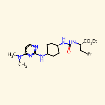 CCOC(=O)[C@H](CC(C)C)NC(=O)N[C@H]1CC[C@@H](Nc2nccc(N(C)C)n2)CC1